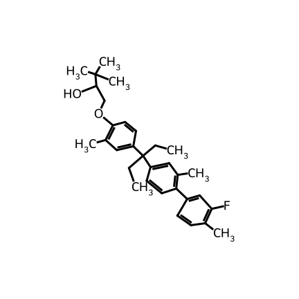 CCC(CC)(c1ccc(OCC(O)C(C)(C)C)c(C)c1)c1ccc(-c2ccc(C)c(F)c2)c(C)c1